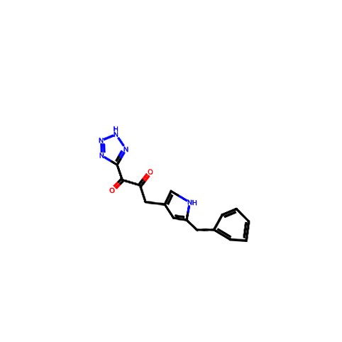 O=C(Cc1c[nH]c(Cc2ccccc2)c1)C(=O)c1nn[nH]n1